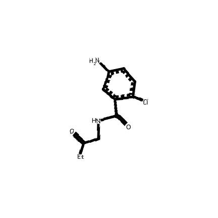 CCC(=O)CNC(=O)c1cc(N)ccc1Cl